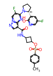 Cc1ccc(S(=O)(=O)OC2CC(NC(=O)c3cnn4cc(F)c(N5CCC[C@@H]5c5cc(F)cnc5O)nc34)C2)cc1